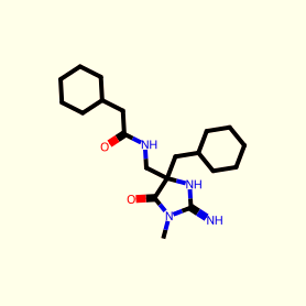 CN1C(=N)NC(CNC(=O)CC2CCCCC2)(CC2CCCCC2)C1=O